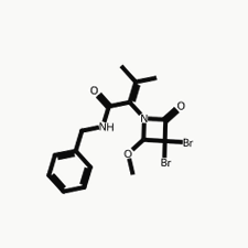 COC1N(C(C(=O)NCc2ccccc2)=C(C)C)C(=O)C1(Br)Br